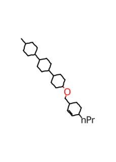 CCCC1C=CC(COC2CCC(C3CCC(C4CCC(C)CC4)CC3)CC2)CC1